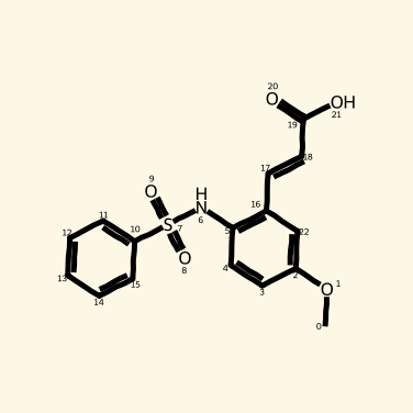 COc1ccc(NS(=O)(=O)c2ccccc2)c(C=CC(=O)O)c1